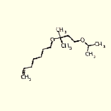 C=CCCCCCOC(C)(C)CCOC(C)C